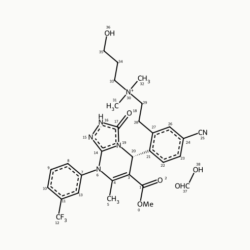 COC(=O)C1=C(C)N(c2cccc(C(F)(F)F)c2)c2n[nH]c(=O)n2[C@@H]1c1ccc(C#N)cc1CC[N+](C)(C)CCCO.O=CO